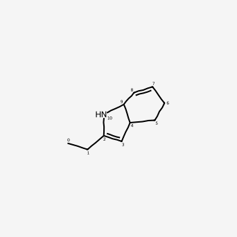 CCC1=CC2CCC=CC2N1